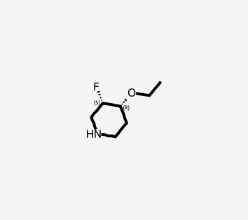 CCO[C@@H]1CCNC[C@@H]1F